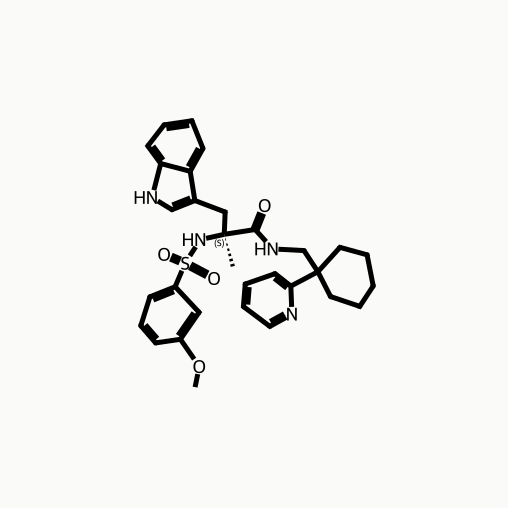 COc1cccc(S(=O)(=O)N[C@@](C)(Cc2c[nH]c3ccccc23)C(=O)NCC2(c3ccccn3)CCCCC2)c1